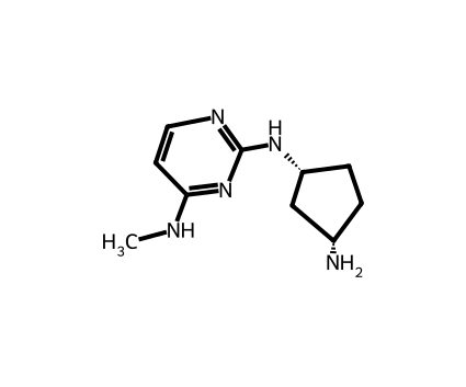 CNc1ccnc(N[C@@H]2CC[C@H](N)C2)n1